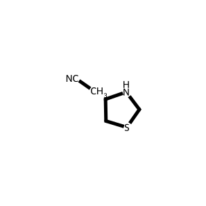 C1CSCN1.CC#N